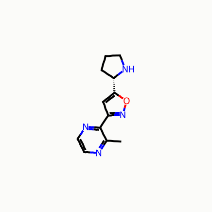 Cc1nccnc1-c1cc([C@@H]2CCCN2)on1